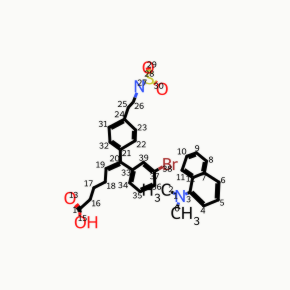 CN(C)c1cccc2ccccc12.O=C(O)CCCC=C(c1ccc(CCN=S(=O)=O)cc1)c1cccc(Br)c1